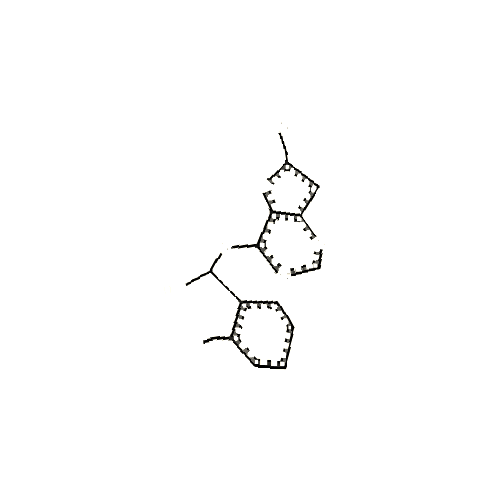 CC(Nc1ncnc2cc(C#N)sc12)c1ccccc1C(F)(F)F